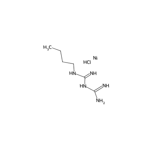 CCCCNC(=N)NC(=N)N.Cl.[Ni]